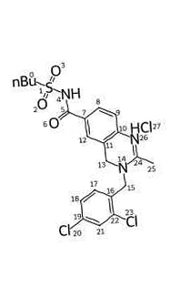 CCCCS(=O)(=O)NC(=O)c1ccc2c(c1)CN(Cc1ccc(Cl)cc1Cl)C(C)=N2.Cl